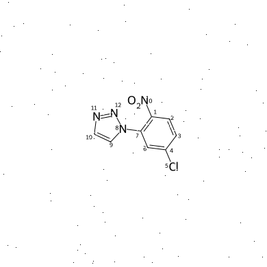 O=[N+]([O-])c1ccc(Cl)cc1-n1ccnn1